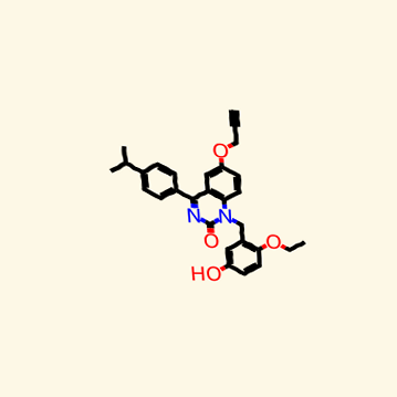 C#CCOc1ccc2c(c1)c(-c1ccc(C(C)C)cc1)nc(=O)n2Cc1cc(O)ccc1OCC